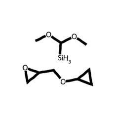 C1CC1OCC1CO1.COC([SiH3])OC